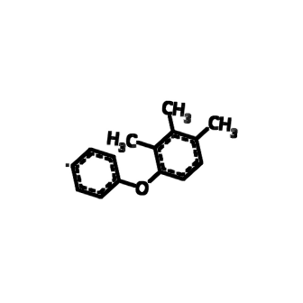 Cc1ccc(Oc2cc[c]cc2)c(C)c1C